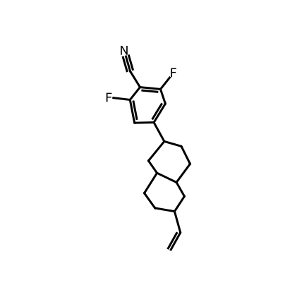 C=CC1CCC2CC(c3cc(F)c(C#N)c(F)c3)CCC2C1